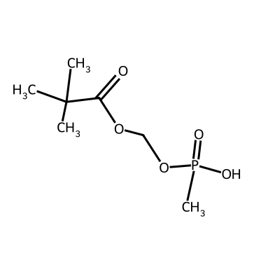 CC(C)(C)C(=O)OCOP(C)(=O)O